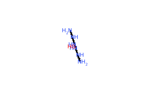 NCCCCCCNCCCCCCNCC(O)CNCCCCCCNCCCCCCN